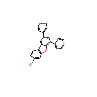 Clc1ccc2c(c1)oc1c(-c3ccccc3)cc(-c3ccccc3)cc12